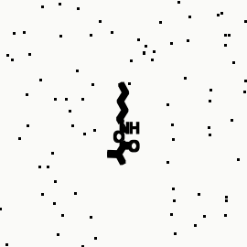 C=C(C)C(=O)ONCCCCC